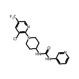 O=C(Nc1cccnc1)NC1CCN(c2ncc(C(F)(F)F)cc2Cl)CC1